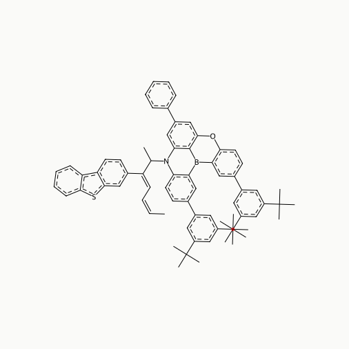 C/C=C\C=C(c1ccc2c(c1)sc1ccccc12)C(C)N1c2ccc(-c3cc(C(C)(C)C)cc(C(C)(C)C)c3)cc2B2c3cc(-c4cc(C(C)(C)C)cc(C(C)(C)C)c4)ccc3Oc3cc(-c4ccccc4)cc1c32